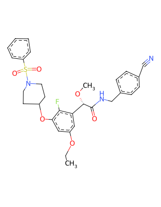 CCOc1cc(OC2CCN(S(=O)(=O)c3ccccc3)CC2)c(F)c([C@H](OC)C(=O)NCc2ccc(C#N)cc2)c1